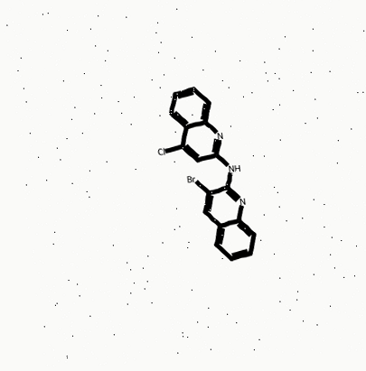 Clc1cc(Nc2nc3ccccc3cc2Br)nc2ccccc12